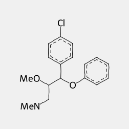 CNCC(OC)C(Oc1ccccc1)c1ccc(Cl)cc1